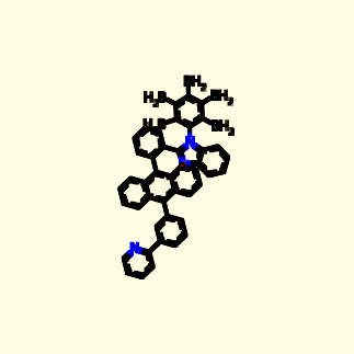 Bc1c(B)c(B)c(-n2c(-c3ccccc3-c3c4ccccc4c(-c4cccc(-c5ccccn5)c4)c4ccccc34)nc3ccccc32)c(B)c1B